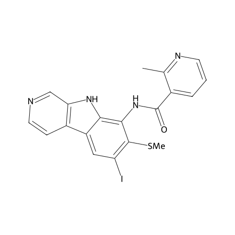 CSc1c(I)cc2c([nH]c3cnccc32)c1NC(=O)c1cccnc1C